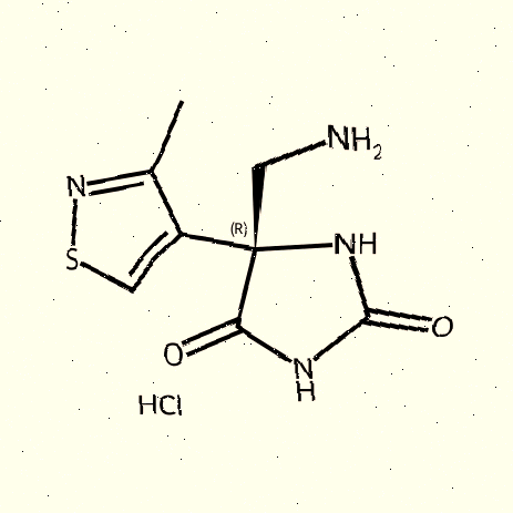 Cc1nscc1[C@]1(CN)NC(=O)NC1=O.Cl